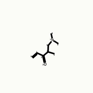 C=CC(=O)C(C)CN(C)C